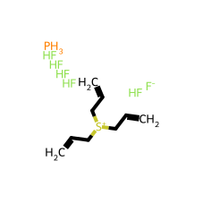 C=CC[S+](CC=C)CC=C.F.F.F.F.F.P.[F-]